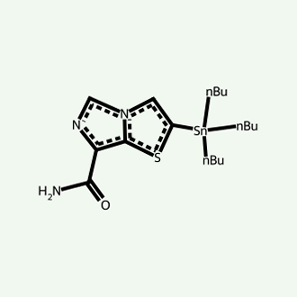 CCC[CH2][Sn]([CH2]CCC)([CH2]CCC)[c]1cn2cnc(C(N)=O)c2s1